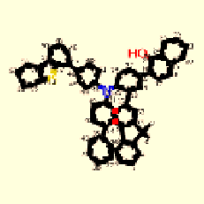 CC1(C)c2ccccc2-c2ccc(-c3cc(-c4ccc5ccccc5c4O)ccc3N(c3ccc(-c4ccccc4)cc3)c3ccc(-c4cccc5c4sc4ccccc45)cc3)cc21